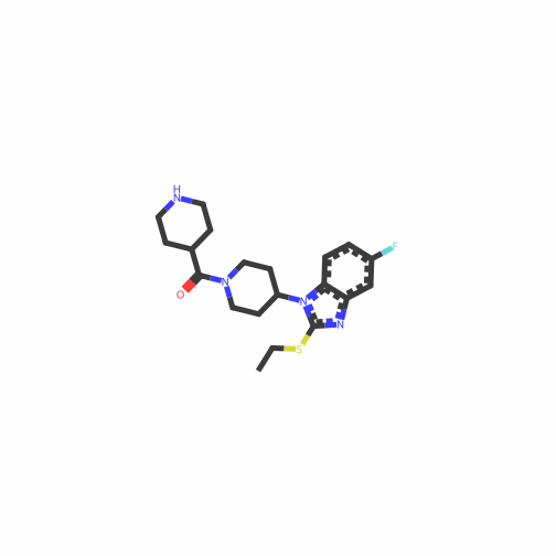 CCSc1nc2cc(F)ccc2n1C1CCN(C(=O)C2CCNCC2)CC1